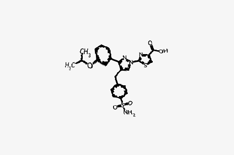 CC(C)Oc1cccc(-c2nn(-c3nc(C(=O)O)cs3)cc2Cc2ccc(S(N)(=O)=O)cc2)c1